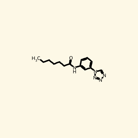 CCCCCCC(=O)Nc1cccc(-n2[c]nnn2)c1